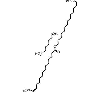 CCCCCCCC/C=C\CCCCCCCCCCCCOC(=O)CCCCCCCCCCC/C=C\CCCCCCCC.CCCCCCCCCCCCCCCC(=O)O